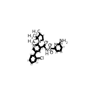 CC1CCN(c2ncc(-c3ccccc3Cl)cc2C(=O)NS(=O)(=O)c2cccc(N)n2)C1(C)C